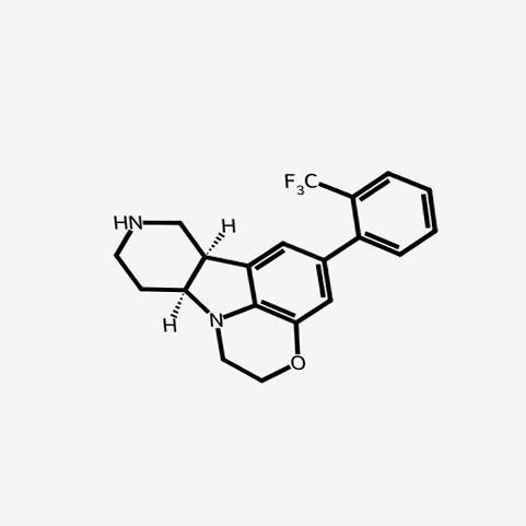 FC(F)(F)c1ccccc1-c1cc2c3c(c1)[C@@H]1CNCC[C@@H]1N3CCO2